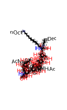 CCCCCCCC/C=C\CCCCCCCCCCCCCC(=O)N[C@@H](CO[C@@H]1OC(CO)[C@@H](O[C@@H]2OC(CO)[C@H](O)[C@H](O[C@@H]3OC(CO)[C@@H](O[C@@H]4OC(CO)[C@H](O)[C@H](O[C@]5(C(=O)O)CC(O)[C@@H](NC(=O)CO)C([C@H](O)[C@@H](CO)O[C@]6(C(=O)O)CC(O)[C@@H](NC(C)=O)C([C@H](O)[C@H](O)CO)O6)O5)C4O)[C@H](O)C3NC(C)=O)C2O)[C@H](O)C1O)[C@H](O)/C=C/CCCCCCCCCCCCC